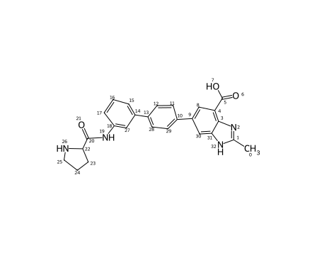 Cc1nc2c(C(=O)O)cc(-c3ccc(-c4cccc(NC(=O)C5CCCN5)c4)cc3)cc2[nH]1